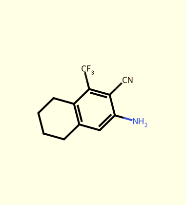 N#Cc1c(N)cc2c(c1C(F)(F)F)CCCC2